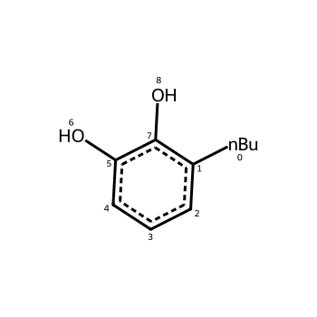 CCCCc1cccc(O)c1O